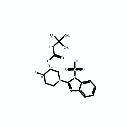 CC(C)(C)NC(=O)O[C@@H]1CN(c2nc3ccccc3n2S(C)(=O)=O)CC[C@H]1F